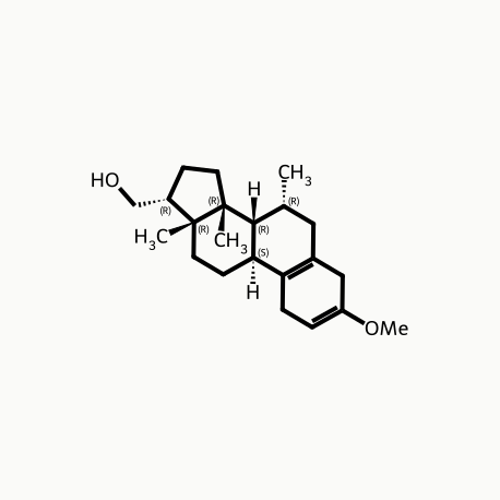 COC1=CCC2=C(C1)C[C@@H](C)[C@@H]1[C@@H]2CC[C@]2(C)[C@H](CO)CC[C@]12C